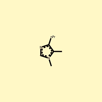 CCCc1n[c]n(C)c1C